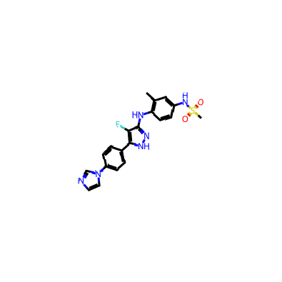 Cc1cc(NS(C)(=O)=O)ccc1Nc1n[nH]c(-c2ccc(-n3ccnc3)cc2)c1F